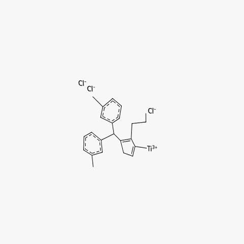 CCCC1=C(C(c2cccc(C)c2)c2cccc(C)c2)CC=[C]1[Ti+3].[Cl-].[Cl-].[Cl-]